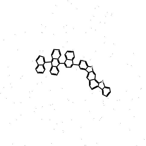 c1ccc2c(-c3c4ccccc4c(-c4ccc(-c5ccc6sc7cc8c(ccc9c%10ccccc%10sc89)cc7c6c5)c5ccccc45)c4ccccc34)cccc2c1